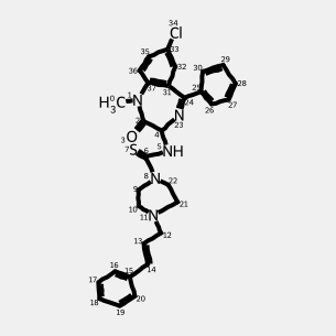 CN1C(=O)C(NC(=S)N2CCN(C/C=C/c3ccccc3)CC2)N=C(c2ccccc2)c2cc(Cl)ccc21